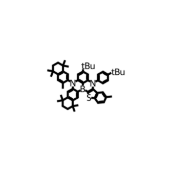 Cc1ccc2sc3c(c2c1)N(c1ccc(C(C)(C)C)cc1)c1cc(C(C)(C)C)cc2c1B3c1cc3c(cc1N2c1cc2c(cc1C)C(C)(C)CCC2(C)C)C(C)(C)CCC3(C)C